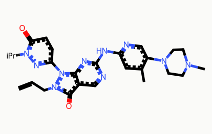 C=CCn1c(=O)c2cnc(Nc3cc(C)c(N4CCN(C)CC4)cn3)nc2n1-c1ccc(=O)n(C(C)C)n1